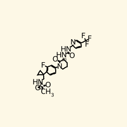 CS(=O)(=O)NCC1(c2ccc(N3CCC[C@@H](NC(=O)Nc4ccc(C(F)(F)F)cn4)C3=O)cc2F)CC1